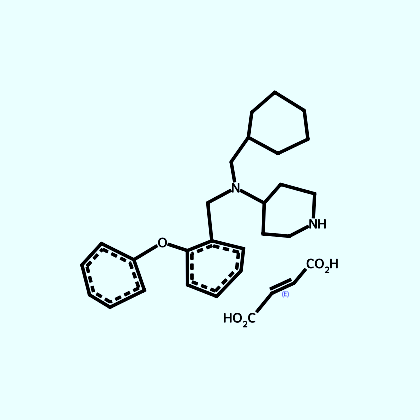 O=C(O)/C=C/C(=O)O.c1ccc(Oc2ccccc2CN(CC2CCCCC2)C2CCNCC2)cc1